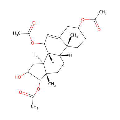 CC(=O)OC1CC[C@@]2(C)C(=CC(OC(C)=O)[C@@H]3[C@H]2CC[C@]2(C)C(OC(C)=O)C(O)C[C@@H]32)C1